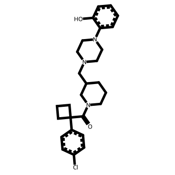 O=C(N1CCCC(CN2CCN(c3ccccc3O)CC2)C1)C1(c2ccc(Cl)cc2)CCC1